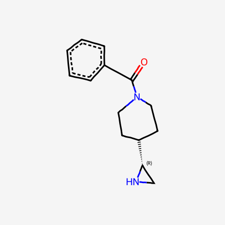 O=C(c1ccccc1)N1CCC([C@@H]2CN2)CC1